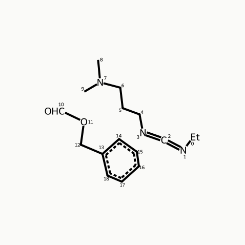 CCN=C=NCCCN(C)C.O=COCc1ccccc1